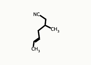 CC=CCC(C)CC#N